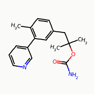 Cc1ccc(CC(C)(C)OC(N)=O)cc1-c1cccnc1